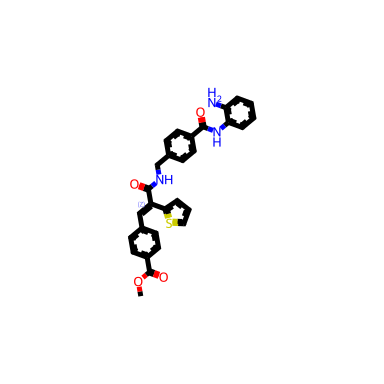 COC(=O)c1ccc(/C=C(/C(=O)NCc2ccc(C(=O)Nc3ccccc3N)cc2)c2cccs2)cc1